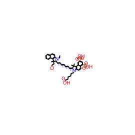 CC[N+]1=C(/C=C/C=C/C=C/C=C2/N(CCCCCC(=O)O)c3ccc4c(S(=O)(=O)O)cc(S(=O)(=O)O)cc4c3C2(C)C)C(C)(CCOC)c2c1ccc1ccccc21